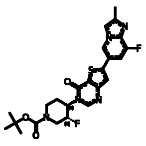 Cc1cn2cc(-c3cc4ncn([C@@H]5CCN(C(=O)OC(C)(C)C)C[C@H]5F)c(=O)c4s3)cc(F)c2n1